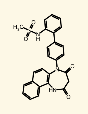 CS(=O)(=O)Nc1ccccc1-c1ccc(N2C(=O)CC(=O)Nc3c2ccc2ccccc32)cc1